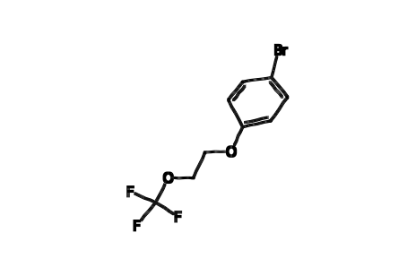 FC(F)(F)OCCOc1ccc(Br)cc1